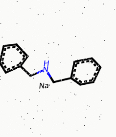 [Na].c1ccc(CNCc2ccccc2)cc1